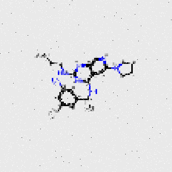 CNCCNc1nc(N[C@H](C)c2cc(N)cc(C(F)(F)F)c2)c2cc(N3CCCC3)ncc2n1